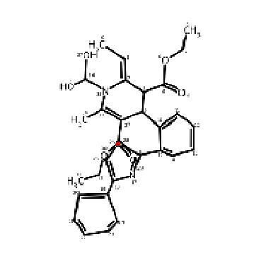 CC=C1C(C(=O)OCC)C(c2ccccc2-c2nc(-c3ccccc3)cs2)C(C(=O)OCC)=C(C)N1C(O)O